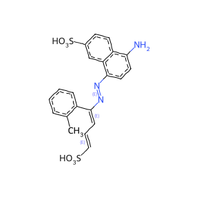 Cc1ccccc1C(=C\C=C\S(=O)(=O)O)/N=N/c1ccc(N)c2ccc(S(=O)(=O)O)cc12